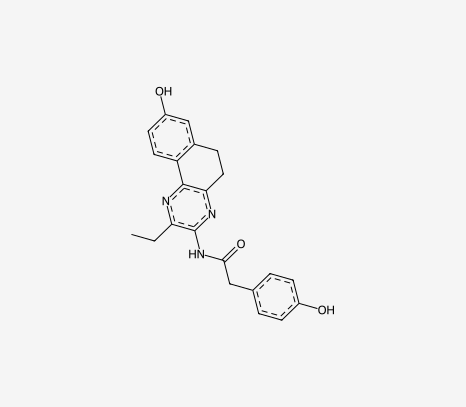 CCc1nc2c(nc1NC(=O)Cc1ccc(O)cc1)CCc1cc(O)ccc1-2